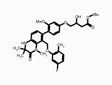 COc1cc(OCC(O)CC(=O)OC(C)(C)C)ccc1-c1ccc2c(c1COc1cc(F)ccc1C)N(C)C(=O)C(C)(C)N2